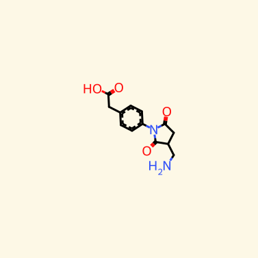 NCC1CC(=O)N(c2ccc(CC(=O)O)cc2)C1=O